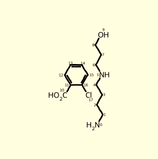 NCCCCNCCCO.O=C(O)c1ccccc1Cl